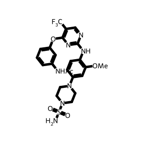 COc1cc(N2CCN(S(N)(=O)=O)CC2)ccc1Nc1ncc(C(F)(F)F)c(Oc2cccc(NC(C)=O)c2)n1